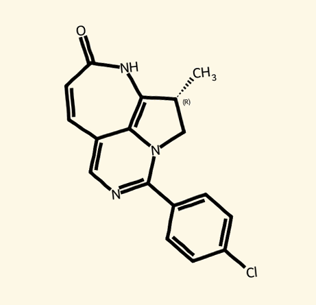 C[C@@H]1CN2C(c3ccc(Cl)cc3)=NC=C3C=CC(=O)NC1=C32